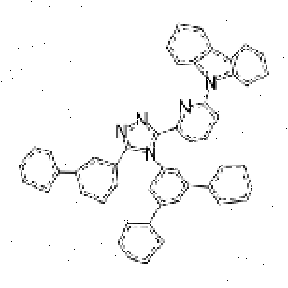 c1ccc(-c2cccc(-c3nnc(-c4cccc(-n5c6ccccc6c6ccccc65)n4)n3-c3cc(-c4ccccc4)cc(-c4ccccc4)c3)c2)cc1